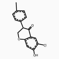 Cc1ccc(C2COc3cc(O)c(Cl)cc3C2=O)cc1